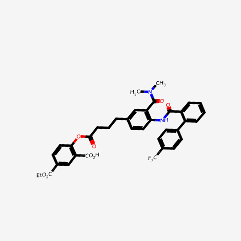 CCOC(=O)c1ccc(OC(=O)CCCc2ccc(NC(=O)c3ccccc3-c3ccc(C(F)(F)F)cc3)c(C(=O)N(C)C)c2)c(C(=O)O)c1